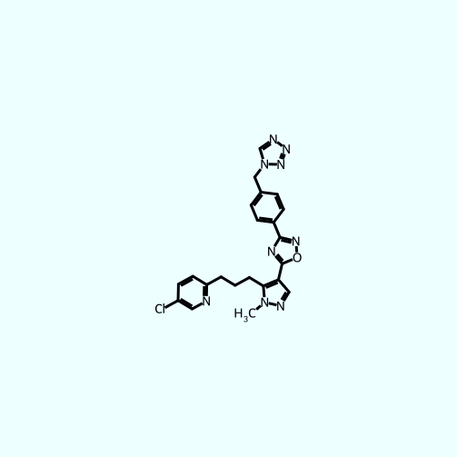 Cn1ncc(-c2nc(-c3ccc(Cn4cnnn4)cc3)no2)c1CCCc1ccc(Cl)cn1